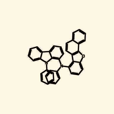 c1ccc(N(c2cccc3oc4c5ccccc5ccc4c23)c2cccc3c4ccccc4n(-c4ccccc4)c23)cc1